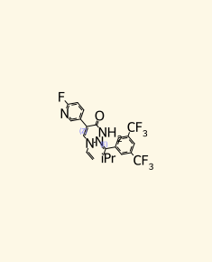 C=CN(/C=C(\C(N)=O)c1ccc(F)nc1)/N=C(/c1cc(C(F)(F)F)cc(C(F)(F)F)c1)C(C)C